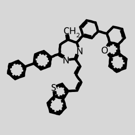 C=C1CC(c2ccc(-c3ccccc3)cc2)=NC(/C=C/C=C\c2csc3ccccc23)=NC1C1=CC(C2CC=Cc3c2oc2ccccc32)CC=C1